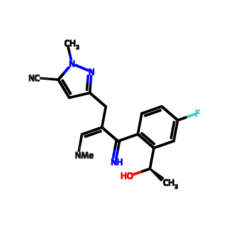 CN/C=C(/Cc1cc(C#N)n(C)n1)C(=N)c1ccc(F)cc1[C@@H](C)O